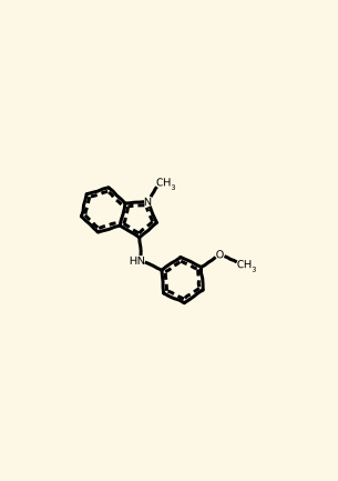 COc1cccc(Nc2cn(C)c3ccccc23)c1